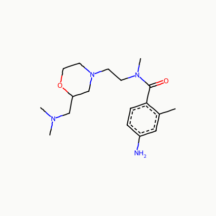 Cc1cc(N)ccc1C(=O)N(C)CCN1CCOC(CN(C)C)C1